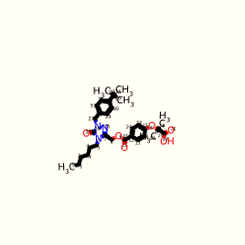 CCCCCCn1c(COC(=O)c2ccc(OC(C)(C)C(=O)O)cc2)nn(Cc2ccc(C(C)(C)C)cc2)c1=O